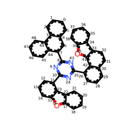 c1ccc2c(c1)cc(-c1nc(-c3cccc4oc5ccccc5c34)nc(-c3cccc4ccc5c6ccccc6oc5c34)n1)c1ccccc12